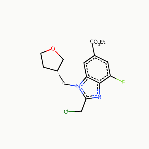 CCOC(=O)c1cc(F)c2nc(CCl)n(C[C@@H]3CCOC3)c2c1